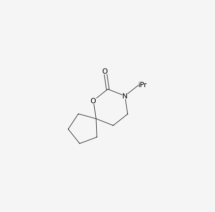 CC(C)N1CCC2(CCCC2)OC1=O